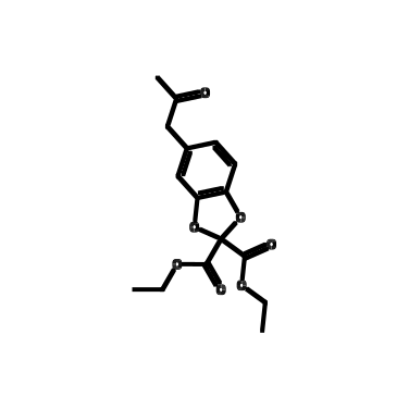 CCOC(=O)C1(C(=O)OCC)Oc2ccc(CC(C)=O)cc2O1